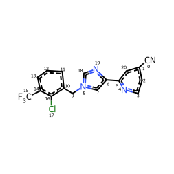 N#Cc1ccnc(-c2cn(Cc3cccc(C(F)(F)F)c3Cl)cn2)c1